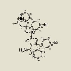 CC(N)CC(OC(=O)C(=O)OC(CC(C)N)(c1ccc(Br)cc1)c1cccnc1)(c1ccc(Br)cc1)c1cccnc1